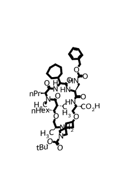 CCCCCC[C@@H](OC[C@@H](C)N)[C@@H](C)C(=O)N(C)[C@@H](CCC)C(=O)NC(C(=O)N[C@@H](CNC(=O)OCc1ccccc1)C(=O)N[C@@H](COC1CC2(C1)CN(C(=O)OC(C)(C)C)C2)C(=O)O)C1CCCCCC1